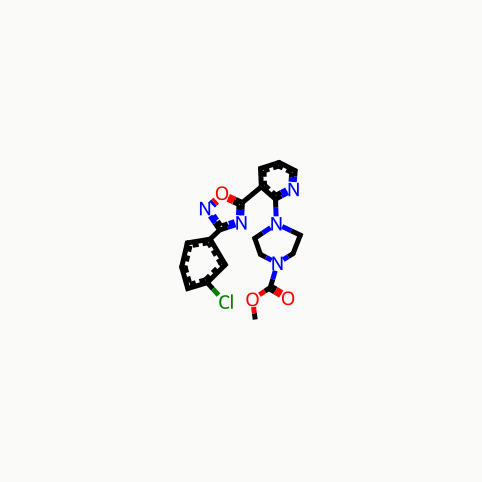 COC(=O)N1CCN(c2ncccc2-c2nc(-c3cccc(Cl)c3)no2)CC1